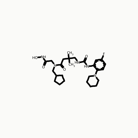 CC(C)(CNC(=O)Nc1cc(F)ccc1N1CCCCC1)CC(=O)N(CC(=O)NO)CC1CCCC1